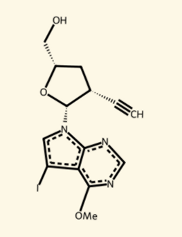 C#C[C@H]1C[C@@H](CO)O[C@H]1n1cc(I)c2c(OC)ncnc21